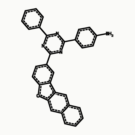 Bc1ccc(-c2nc(-c3ccccc3)nc(-c3ccc4oc5cc6ccccc6cc5c4c3)n2)cc1